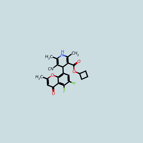 [C-]#[N+]C1=C(C)NC(C)=C(C(=O)OC2CCC2)C1c1cc(F)c(F)c2c(=O)cc(C)oc12